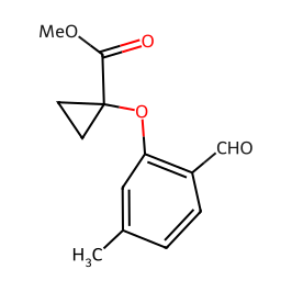 COC(=O)C1(Oc2cc(C)ccc2C=O)CC1